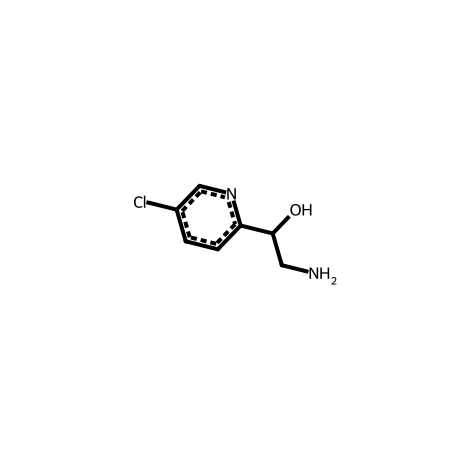 NCC(O)c1ccc(Cl)cn1